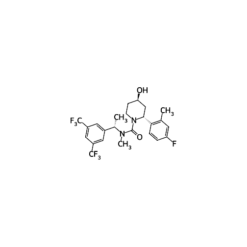 Cc1cc(F)ccc1[C@H]1C[C@H](O)CCN1C(=O)N(C)[C@@H](C)c1cc(C(F)(F)F)cc(C(F)(F)F)c1